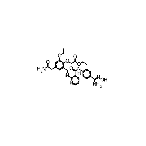 CCOC(=O)COc1c(CNc2ncccc2C(=O)Nc2ccc(/C(N)=N/O)cc2)cc(CC(N)=O)cc1OCC